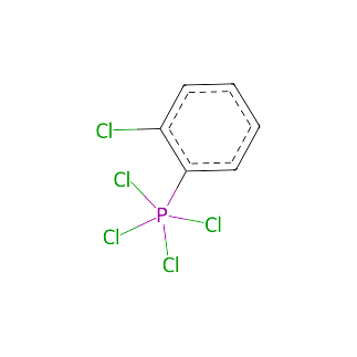 Clc1ccccc1P(Cl)(Cl)(Cl)Cl